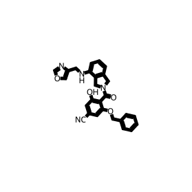 N#Cc1cc(O)c(C(=O)N2Cc3cccc(NCc4cocn4)c3C2)c(OCc2ccccc2)c1